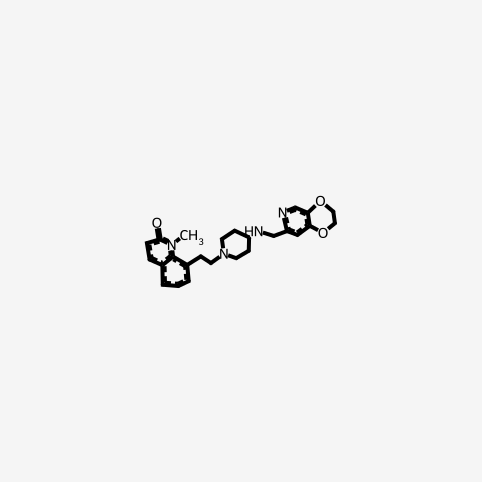 Cn1c(=O)ccc2cccc(CCN3CCC(NCc4cc5c(cn4)OCCO5)CC3)c21